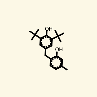 Cc1ccc(Cc2cc(C(C)(C)C)c(O)c(C(C)(C)C)c2)c(O)c1